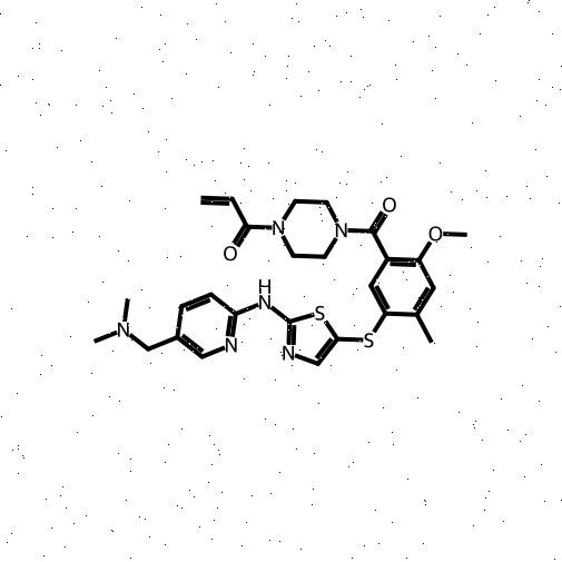 C=CC(=O)N1CCN(C(=O)c2cc(Sc3cnc(Nc4ccc(CN(C)C)cn4)s3)c(C)cc2OC)CC1